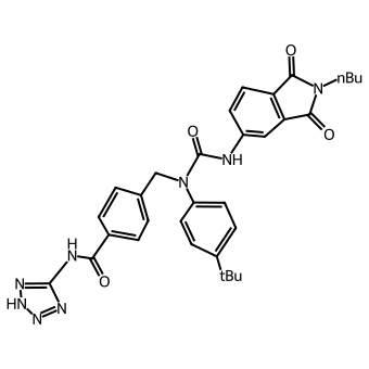 CCCCN1C(=O)c2ccc(NC(=O)N(Cc3ccc(C(=O)Nc4nn[nH]n4)cc3)c3ccc(C(C)(C)C)cc3)cc2C1=O